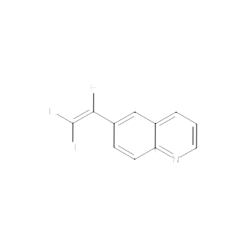 [2H]C([2H])=C([2H])c1ccc2ncccc2c1